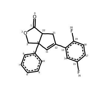 O=C1OCC2(c3ccccc3)C=C(c3cc(F)ccc3F)CC12